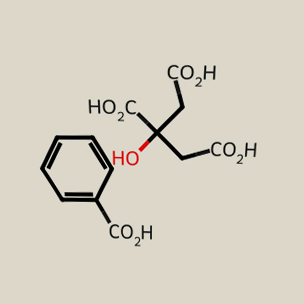 O=C(O)CC(O)(CC(=O)O)C(=O)O.O=C(O)c1ccccc1